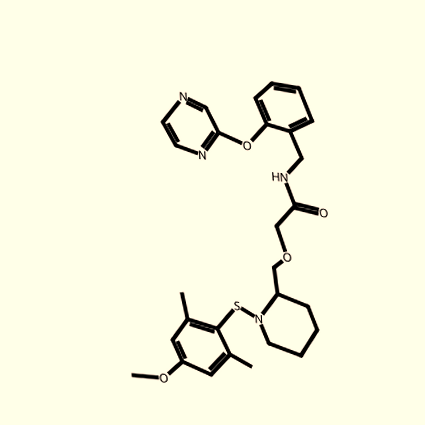 COc1cc(C)c(SN2CCCCC2COCC(=O)NCc2ccccc2Oc2cnccn2)c(C)c1